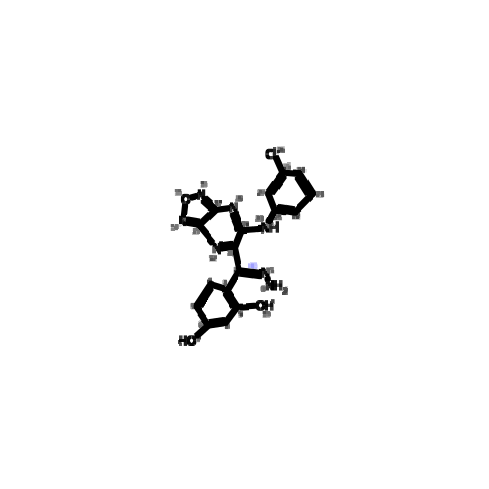 N/N=C(\c1ccc(O)cc1O)c1nc2nonc2nc1Nc1cccc(Cl)c1